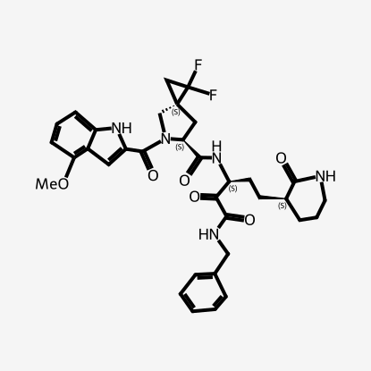 COc1cccc2[nH]c(C(=O)N3C[C@]4(C[C@H]3C(=O)N[C@@H](CC[C@@H]3CCCNC3=O)C(=O)C(=O)NCc3ccccc3)CC4(F)F)cc12